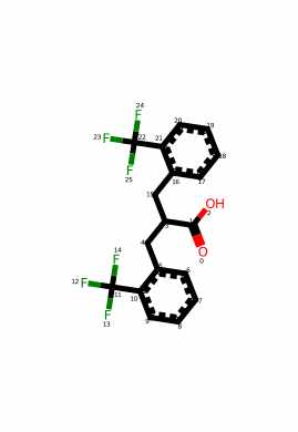 O=C(O)C(Cc1ccccc1C(F)(F)F)Cc1ccccc1C(F)(F)F